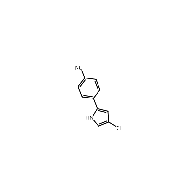 N#Cc1ccc(-c2cc(Cl)c[nH]2)cc1